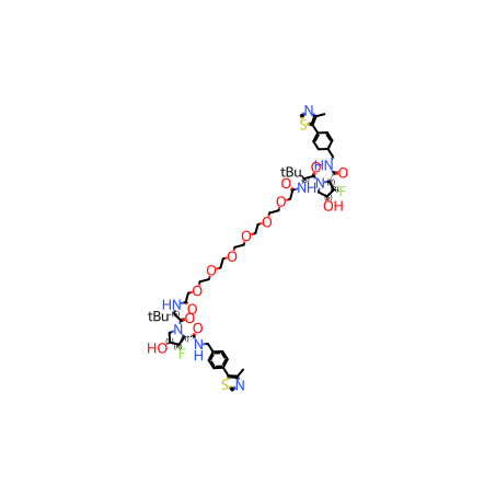 Cc1ncsc1C1=CCC(CNC(=O)[C@@H]2[C@@H](F)[C@@H](O)CN2C(=O)[C@@H](NC(=O)COCCOCCOCCOCCOCCOCC(=O)N[C@H](C(=O)N2C[C@H](O)[C@H](F)[C@H]2C(=O)NCc2ccc(-c3scnc3C)cc2)C(C)(C)C)C(C)(C)C)C=C1